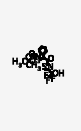 CC(C)(C)OC(=O)n1cc(C(=O)c2nc(C(O)C(F)(F)F)cs2)c2ccccc21